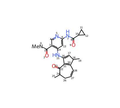 CNC(=O)c1cnc(NC(=O)C2CC2)cc1NC1=CC(C)C2=C1C(=O)C(C)CC=C2